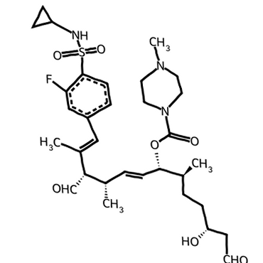 C/C(=C\c1ccc(S(=O)(=O)NC2CC2)c(F)c1)[C@@H](C=O)[C@@H](C)/C=C/[C@H](OC(=O)N1CCN(C)CC1)[C@@H](C)CC[C@@H](O)CC=O